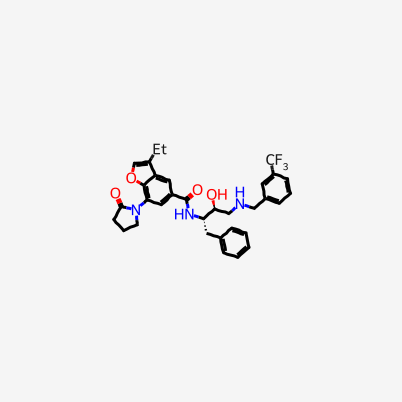 CCc1coc2c(N3CCCC3=O)cc(C(=O)N[C@@H](Cc3ccccc3)[C@@H](O)CNCc3cccc(C(F)(F)F)c3)cc12